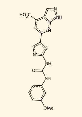 COc1cccc(NC(=O)Nc2ncc(-c3cc(C(=O)O)c4cn[nH]c4n3)s2)c1